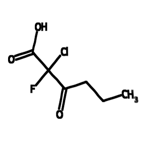 CCCC(=O)C(F)(Cl)C(=O)O